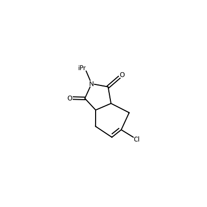 CC(C)N1C(=O)C2CC=C(Cl)CC2C1=O